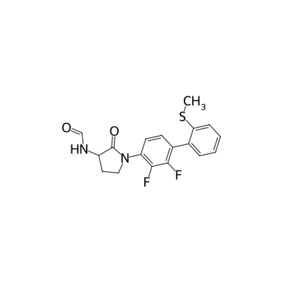 CSc1ccccc1-c1ccc(N2CCC(NC=O)C2=O)c(F)c1F